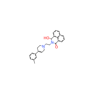 Cc1cccc(C2=CCN(CCN3C(=O)c4cccc5cccc(c45)C3O)CC2)c1